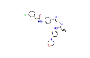 C=C(/N=C\C=C(/N)c1ccc(NC(=O)Cc2cccc(Cl)c2)cc1)Nc1ccc(N2CCOCC2)cc1